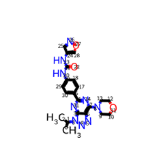 CC(C)n1nnc2c(N3CCOCC3)nc(-c3ccc(NC(=O)Nc4cnoc4)cc3)nc21